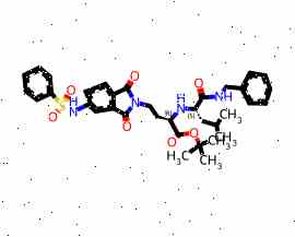 CC(C)C[C@H](N[C@H](CCN1C(=O)c2ccc(NS(=O)(=O)c3ccccc3)cc2C1=O)C(=O)OC(C)(C)C)C(=O)NCc1ccccc1